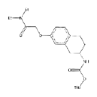 CCN(CC)C(=O)COc1ccc2c(c1)C[C@@H](NC(=O)OC(C)(C)C)CC2